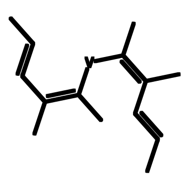 CC=CC(C)=[C](C)[V][C](C)=C(C)C=CC